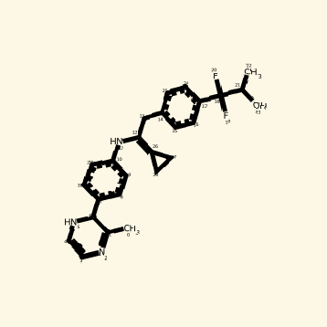 CC1=NC=CNC1c1ccc(NC(Cc2ccc(C(F)(F)C(C)O)cc2)=C2CC2)cc1